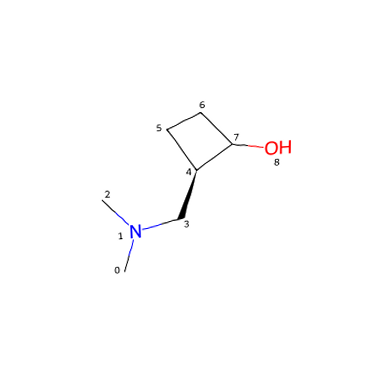 CN(C)C[C@H]1CCC1O